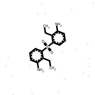 CCc1c(N)cccc1S(=O)(=O)c1cccc(N)c1CC